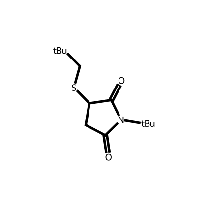 CC(C)(C)CSC1CC(=O)N(C(C)(C)C)C1=O